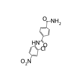 NC(=O)c1ccc(C(=O)Nc2ccc([N+](=O)[O-])cc2Cl)cc1